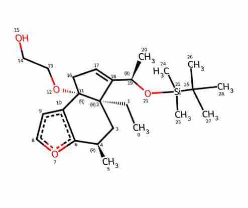 CC[C@]12C[C@@H](C)c3occc3[C@@]1(OCCO)CC=C2[C@@H](C)O[Si](C)(C)C(C)(C)C